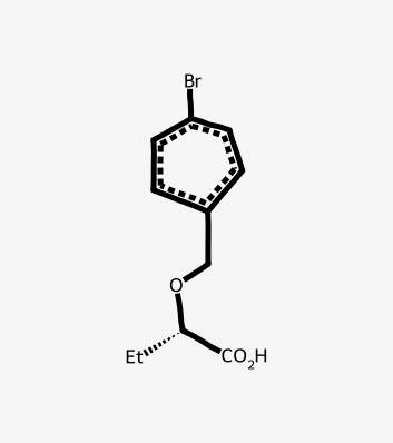 CC[C@H](OCc1ccc(Br)cc1)C(=O)O